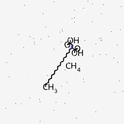 C.CCCCCCCCCCCCCCCCCC/C(=C\C(=O)O)C(=O)O